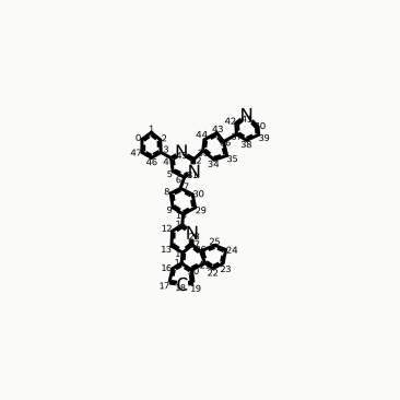 c1ccc(-c2cc(-c3ccc(-c4ccc5c6ccccc6c6ccccc6c5n4)cc3)nc(-c3ccc(-c4cccnc4)cc3)n2)cc1